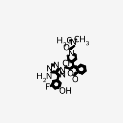 CC(c1oc(=O)c2ccccc2c1C1=CCN(C(=O)CN(C)C)CC1)n1nc(-c2cc(O)cc(F)c2)c2c(N)ncnc21